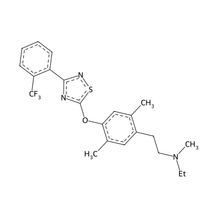 CCN(C)CCc1cc(C)c(Oc2nc(-c3ccccc3C(F)(F)F)ns2)cc1C